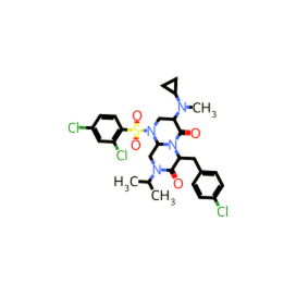 CC(C)N1CC2N(C(=O)C(N(C)C3CC3)CN2S(=O)(=O)c2ccc(Cl)cc2Cl)C(Cc2ccc(Cl)cc2)C1=O